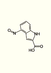 O=Nc1cccc2[nH]c(C(=O)O)cc12